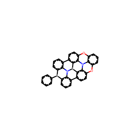 c1ccc(B2c3cccc4c3N3B5c6c-4ccc4c6N6c7c(cccc7Oc7ccc(c5c76)-c5cccc2c53)O4)cc1